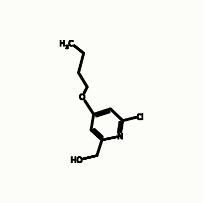 CCCCOc1cc(Cl)nc(CO)c1